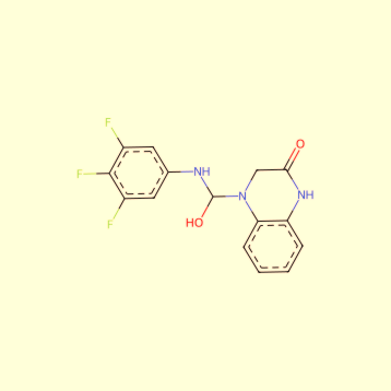 O=C1CN(C(O)Nc2cc(F)c(F)c(F)c2)c2ccccc2N1